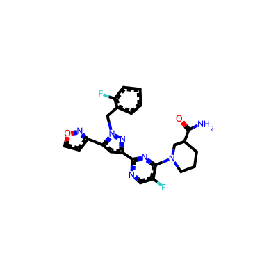 NC(=O)C1CCCN(c2nc(-c3cc(-c4ccon4)n(Cc4ccccc4F)n3)ncc2F)C1